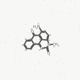 Cn1c(=O)nc2c3c(c(N)ccc31)C(=O)c1ccccc1-2